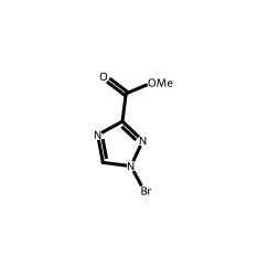 COC(=O)c1ncn(Br)n1